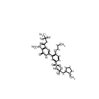 [2H]C([2H])(C)Cc1nn(C)c2c(=O)[nH]c(-c3cc(S(=O)(=O)NC([2H])([2H])CC4CCCN4C)ccc3OCCC)nc12